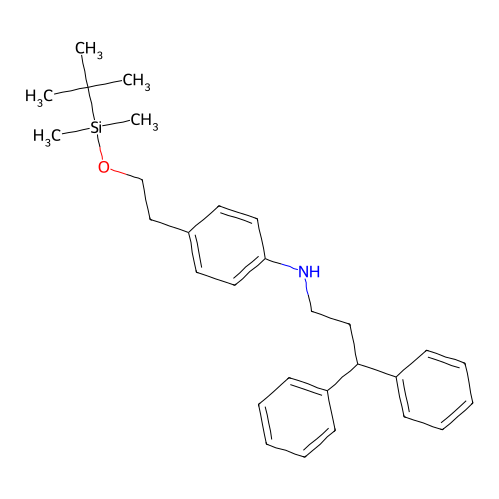 CC(C)(C)[Si](C)(C)OCCc1ccc(NCCC(c2ccccc2)c2ccccc2)cc1